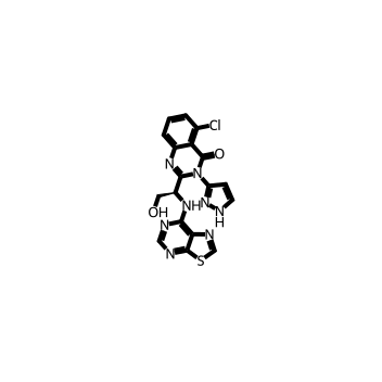 O=c1c2c(Cl)cccc2nc([C@H](CO)Nc2ncnc3scnc23)n1-c1cc[nH]n1